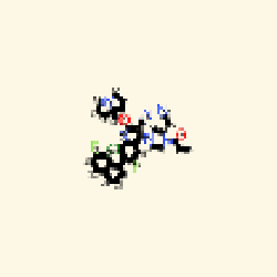 C=CC(=O)N1CCN(c2c(C#N)c(OCC34CCCN3CCC4)nc3cc(-c4cccc5ccc(F)c(Cl)c45)c(F)cc23)C[C@@H]1CC#N